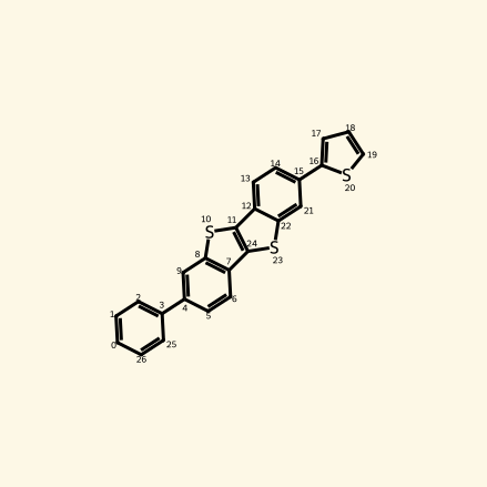 c1ccc(-c2ccc3c(c2)sc2c4ccc(-c5cccs5)cc4sc32)cc1